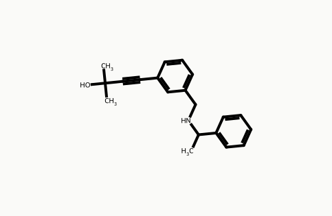 CC(NCc1cccc(C#CC(C)(C)O)c1)c1ccccc1